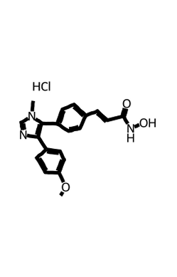 COc1ccc(-c2ncn(C)c2-c2ccc(C=CC(=O)NO)cc2)cc1.Cl